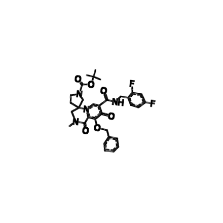 CN1CC2(CCN(C(=O)OC(C)(C)C)C2)n2cc(C(=O)NCc3ccc(F)cc3F)c(=O)c(OCc3ccccc3)c2C1=O